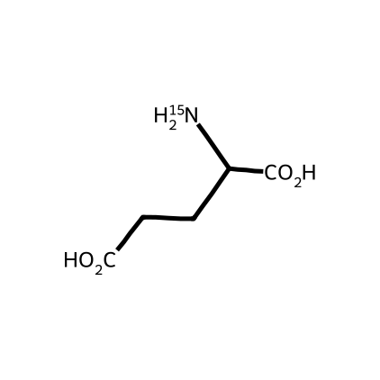 [15NH2]C(CCC(=O)O)C(=O)O